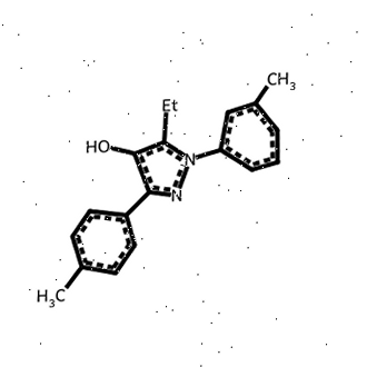 CCc1c(O)c(-c2ccc(C)cc2)nn1-c1cccc(C)c1